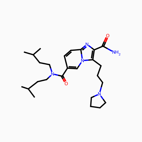 CC(C)CCN(CCC(C)C)C(=O)c1ccc2nc(C(N)=O)c(CCCN3CCCC3)n2c1